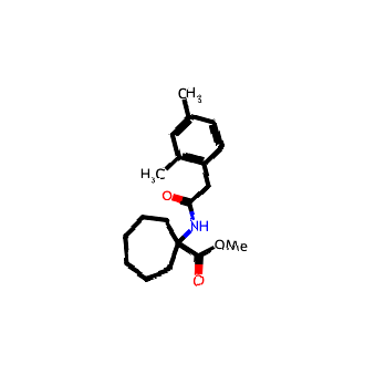 COC(=O)C1(NC(=O)Cc2ccc(C)cc2C)CCCCCC1